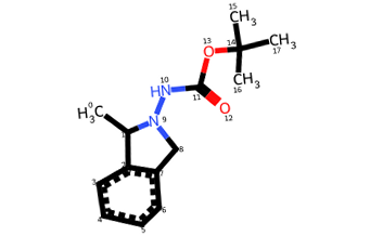 CC1c2ccccc2CN1NC(=O)OC(C)(C)C